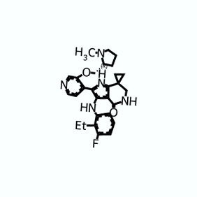 CCc1c(F)cccc1Nc1c(-c2ccncc2OC[C@H]2CCCN2C)[nH]c2c1C(=O)NCC21CC1